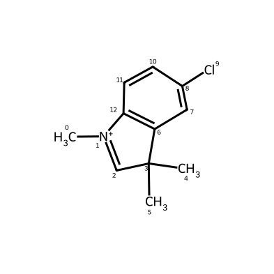 C[N+]1=CC(C)(C)c2cc(Cl)ccc21